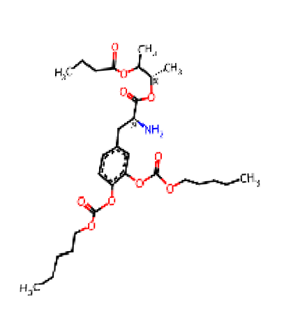 CCCCCOC(=O)Oc1ccc(C[C@H](N)C(=O)O[C@@H](C)C(C)OC(=O)CCC)cc1OC(=O)OCCCCC